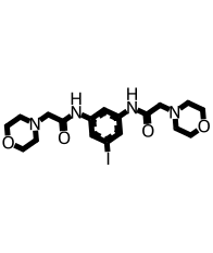 O=C(CN1CCOCC1)Nc1cc(I)cc(NC(=O)CN2CCOCC2)c1